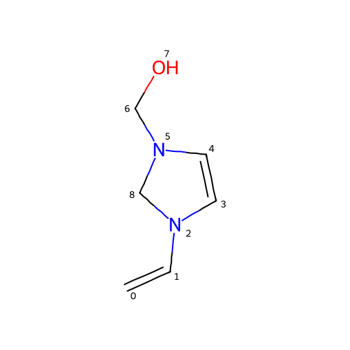 C=CN1C=CN(CO)C1